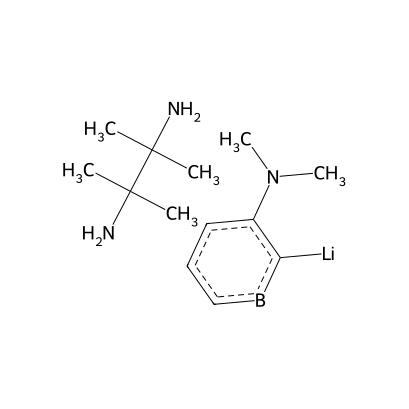 CC(C)(N)C(C)(C)N.[Li][c]1bcccc1N(C)C